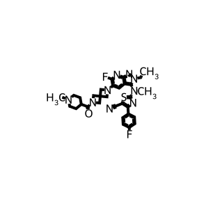 CCn1nc2nc(F)c(N3CC4(CN(C(=O)C5CCN(C)CC5)C4)C3)cc2c1N(C)c1nc(-c2ccc(F)cc2)c(C#N)s1